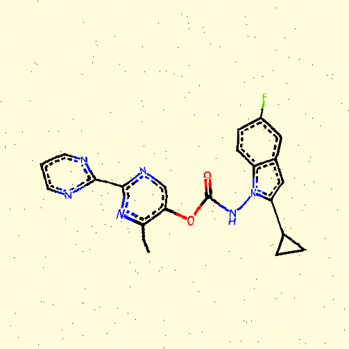 Cc1nc(-c2ncccn2)ncc1OC(=O)Nn1c(C2CC2)cc2cc(F)ccc21